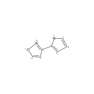 C1=C[N]C(c2ccon2)=C1